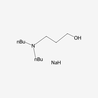 CCCCN(CCCC)CCCO.[NaH]